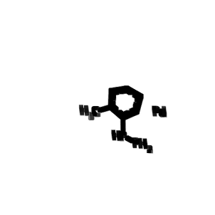 Cc1ccccc1PP.[Pd]